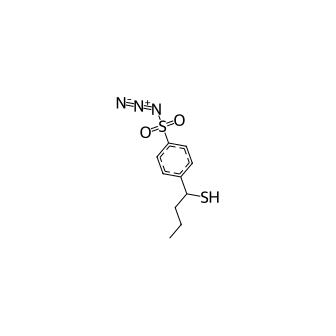 CCCC(S)c1ccc(S(=O)(=O)N=[N+]=[N-])cc1